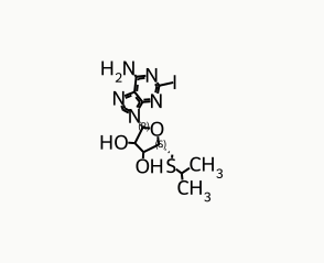 CC(C)SC[C@H]1O[C@@H](n2cnc3c(N)nc(I)nc32)C(O)C1O